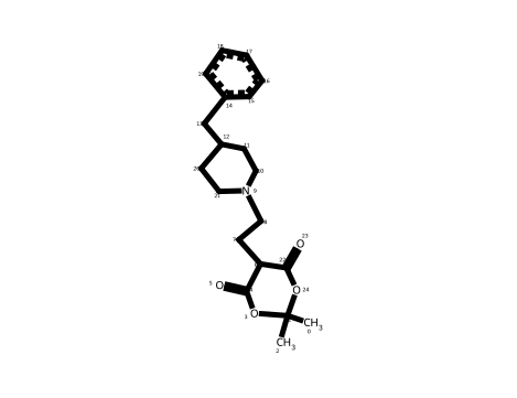 CC1(C)OC(=O)C(CCN2CCC(Cc3ccccc3)CC2)C(=O)O1